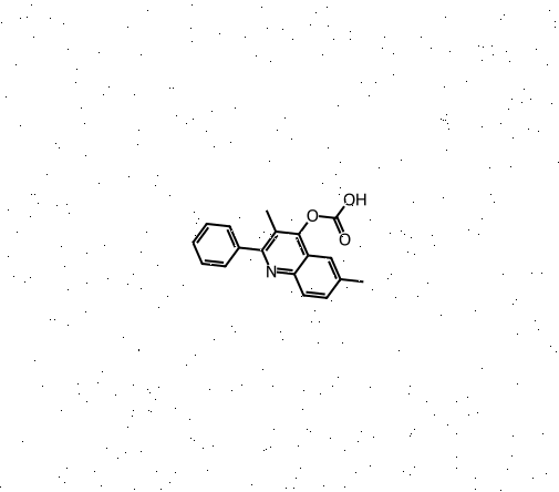 Cc1ccc2nc(-c3ccccc3)c(C)c(OC(=O)O)c2c1